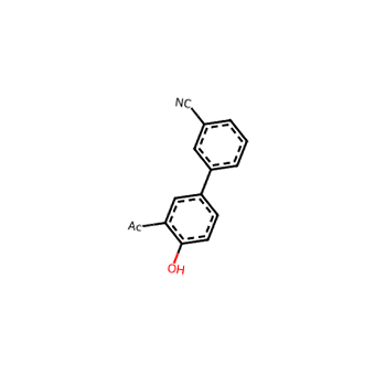 CC(=O)c1cc(-c2cccc(C#N)c2)ccc1O